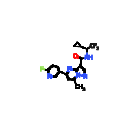 Cc1cc(-c2ccc(F)nc2)nc2c(C(=O)NC(C3CC3)C(F)(F)F)cnn12